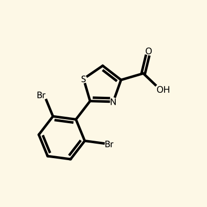 O=C(O)c1csc(-c2c(Br)cccc2Br)n1